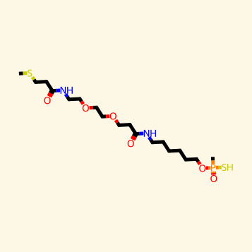 CSCCC(=O)NCCOCCOCCC(=O)NCCCCCCOP(C)(=O)S